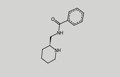 O=C(NC[C@@H]1CCCCN1)c1ccccc1